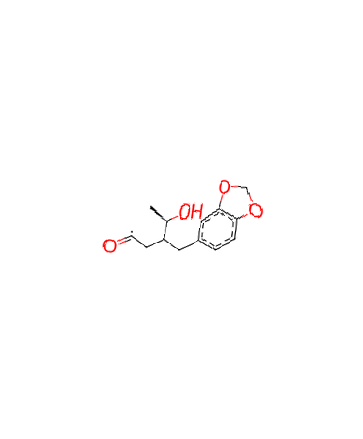 C[C@@H](O)C(C[C]=O)Cc1ccc2c(c1)OCO2